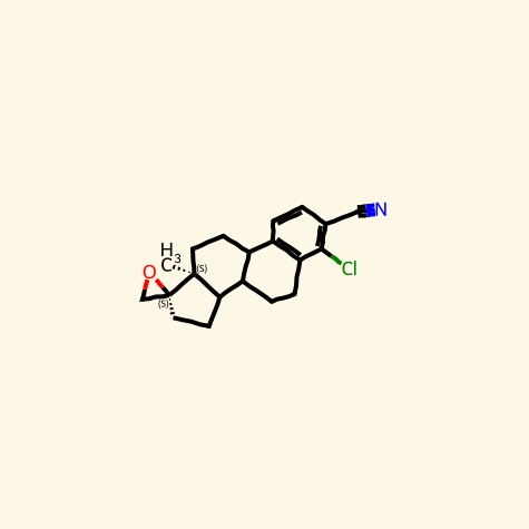 C[C@]12CCC3c4ccc(C#N)c(Cl)c4CCC3C1CC[C@@]21CO1